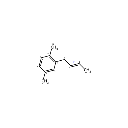 C/C=C/Cc1cc(C)ccc1C